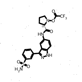 NS(=O)(=O)c1cccc(-c2n[nH]c3ccc(NC(=O)[C@@H]4CCCN4OC(=O)C(F)(F)F)cc23)c1